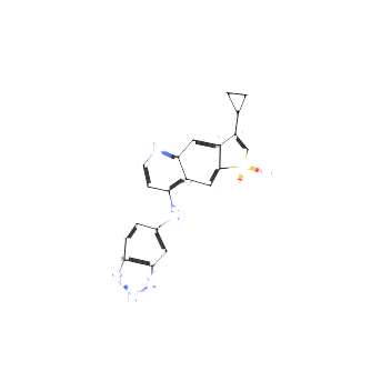 O=S1(=O)C=C(C2CC2)c2cc3nccc(Nc4ccc5nn[nH]c5c4)c3cc21